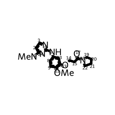 CNc1ccnc(Nc2ccc(OC)c(OCCC(=O)N3CCCC3)c2)n1